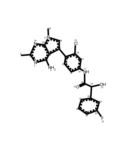 Cc1nc(N)c2c(-c3ccc(NC(=O)C(O)c4cccc(F)c4)cc3Cl)cn(C)c2n1